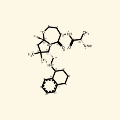 CN[C@@H](C)C(=O)N[C@H]1CCO[C@H]2CC(C)(C)[C@@H](CNC3CCCc4ccccc43)N2C1=O